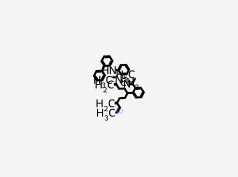 C=CC1=NC(CC(=C)[N+](C)(CC)c2ccccc2Nc2ccccc2-c2ccccc2)C(CCC(=C)/C=C\C)c2ccccc21